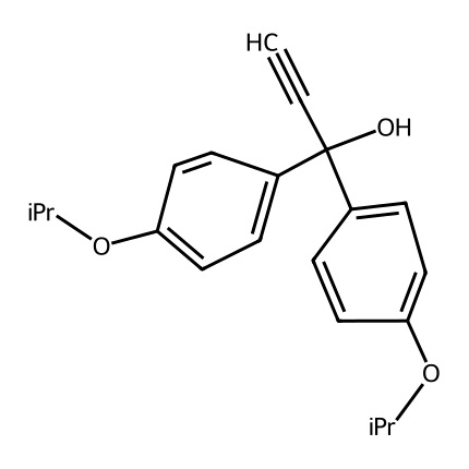 C#CC(O)(c1ccc(OC(C)C)cc1)c1ccc(OC(C)C)cc1